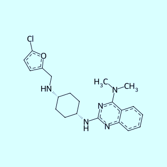 CN(C)c1nc(N[C@H]2CC[C@@H](NCc3ccc(Cl)o3)CC2)nc2ccccc12